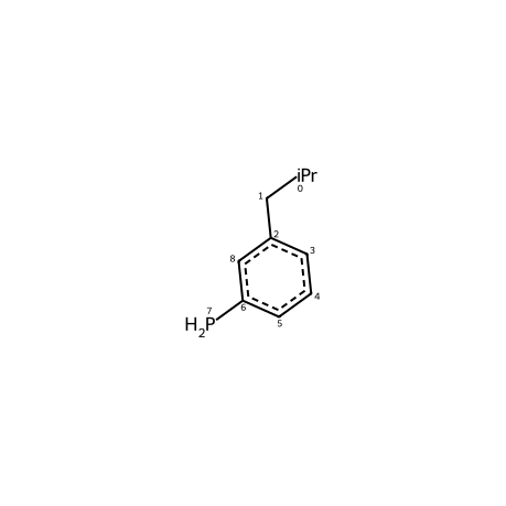 CC(C)Cc1cccc(P)c1